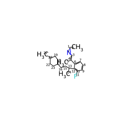 C/C=N\C=C(/C)c1cccc(F)c1C(C)CCC1CCC(C)CC1